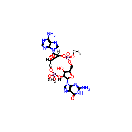 COP1(=O)OC[C@H]2O[C@@H](n3cnc4c(=O)[nH]c(N)nc43)[C@@H](OP(=O)(OC)OC[C@H]3O[C@@H](n4cnc5c(N)ncnc54)[C@@H](O1)C3O)C2O